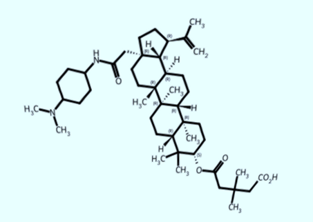 C=C(C)[C@@H]1CC[C@]2(CC(=O)NC3CCC(N(C)C)CC3)CC[C@]3(C)[C@H](CC[C@@H]4[C@@]5(C)CC[C@H](OC(=O)CC(C)(C)CC(=O)O)C(C)(C)[C@@H]5CC[C@]43C)[C@@H]12